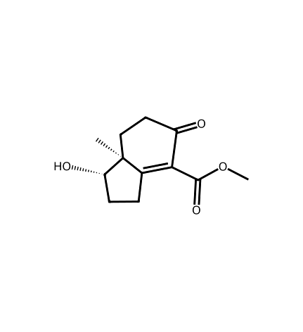 COC(=O)C1=C2CC[C@H](O)[C@@]2(C)CCC1=O